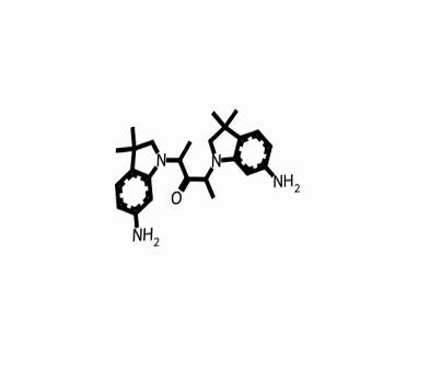 CC(C(=O)C(C)N1CC(C)(C)c2ccc(N)cc21)N1CC(C)(C)c2ccc(N)cc21